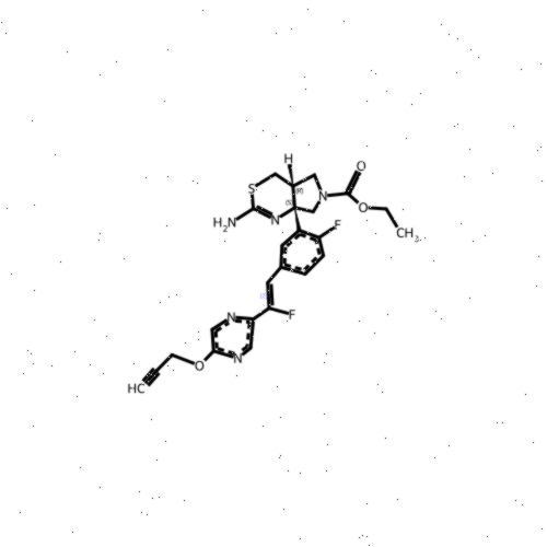 C#CCOc1cnc(/C(F)=C/c2ccc(F)c([C@]34CN(C(=O)OCC)C[C@H]3CSC(N)=N4)c2)cn1